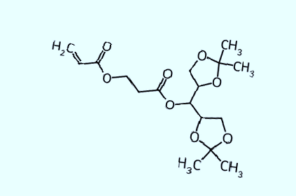 C=CC(=O)OCCC(=O)OC(C1COC(C)(C)O1)C1COC(C)(C)O1